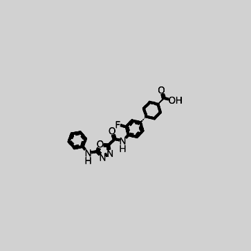 O=C(Nc1ccc([C@H]2CC[C@H](C(=O)O)CC2)cc1F)c1nnc(Nc2ccccc2)o1